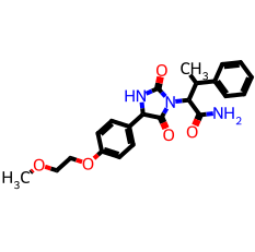 COCCOc1ccc(C2NC(=O)N(C(C(N)=O)C(C)c3ccccc3)C2=O)cc1